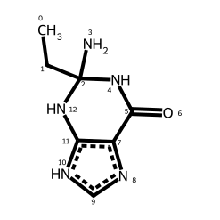 CCC1(N)NC(=O)c2nc[nH]c2N1